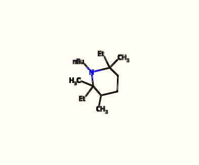 CCCCN1C(C)(CC)CCC(C)C1(C)CC